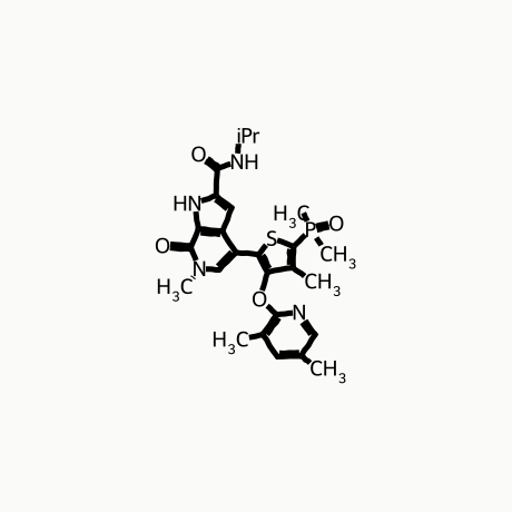 Cc1cnc(Oc2c(-c3cn(C)c(=O)c4[nH]c(C(=O)NC(C)C)cc34)sc(P(C)(C)=O)c2C)c(C)c1